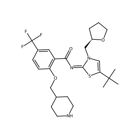 CC(C)(C)c1cn(C[C@H]2CCCO2)c(=NC(=O)c2cc(C(F)(F)F)ccc2OCC2CCNCC2)s1